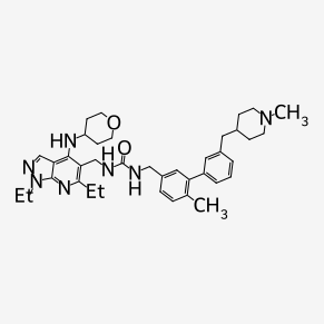 CCc1nc2c(cnn2CC)c(NC2CCOCC2)c1CNC(=O)NCc1ccc(C)c(-c2cccc(CC3CCN(C)CC3)c2)c1